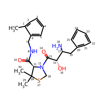 Cc1ccccc1CNC(=O)[C@H]1N(C(=O)[C@@H](O)[C@@H](N)Cc2ccccc2)CSC1(C)C